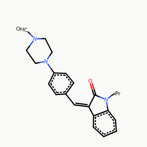 CC(C)N1C(=O)/C(=C\c2ccc(N3CCN(C=O)CC3)cc2)c2ccccc21